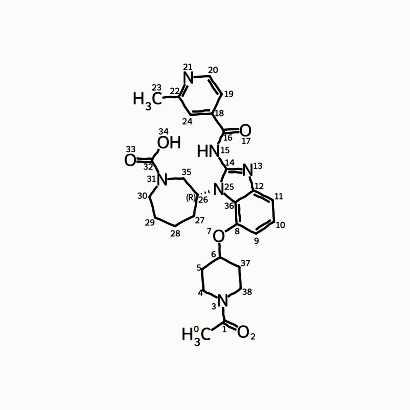 CC(=O)N1CCC(Oc2cccc3nc(NC(=O)c4ccnc(C)c4)n([C@@H]4CCCCN(C(=O)O)C4)c23)CC1